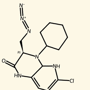 [N-]=[N+]=NC[C@@H]1C(=O)NC2=CC=C(Cl)NC2N1C1CCCCC1